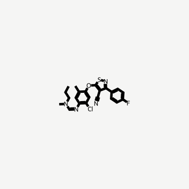 CCCN(C)/C=N\c1cc(C)c(Oc2snc(-c3ccc(F)cc3)c2C#N)cc1Cl